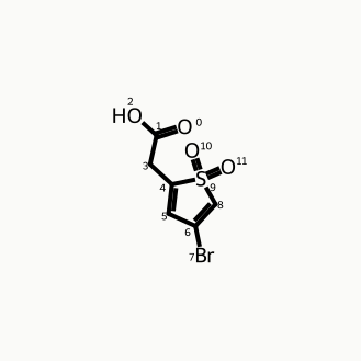 O=C(O)CC1=CC(Br)=CS1(=O)=O